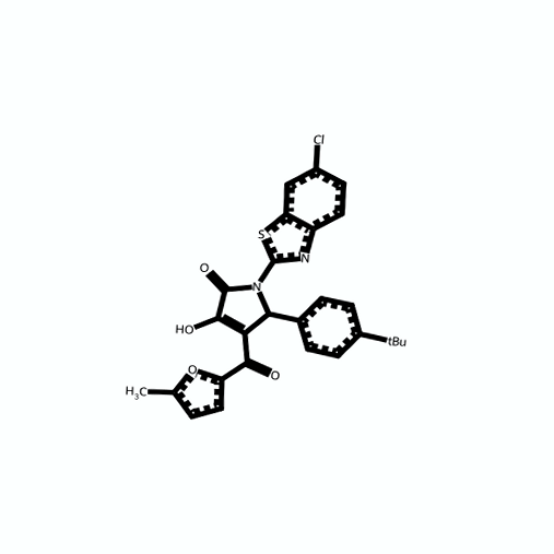 Cc1ccc(C(=O)C2=C(O)C(=O)N(c3nc4ccc(Cl)cc4s3)C2c2ccc(C(C)(C)C)cc2)o1